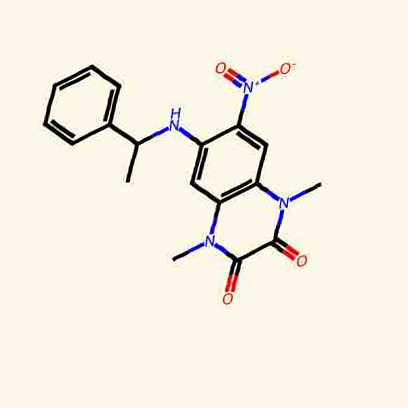 CC(Nc1cc2c(cc1[N+](=O)[O-])n(C)c(=O)c(=O)n2C)c1ccccc1